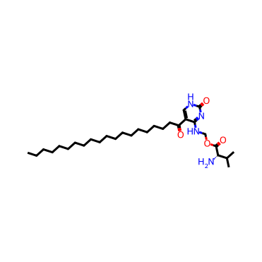 CCCCCCCCCCCCCCCCCCCC(=O)c1c[nH]c(=O)nc1NCOC(=O)[C@@H](N)C(C)C